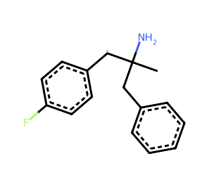 CC(N)([CH]c1ccc(F)cc1)Cc1ccccc1